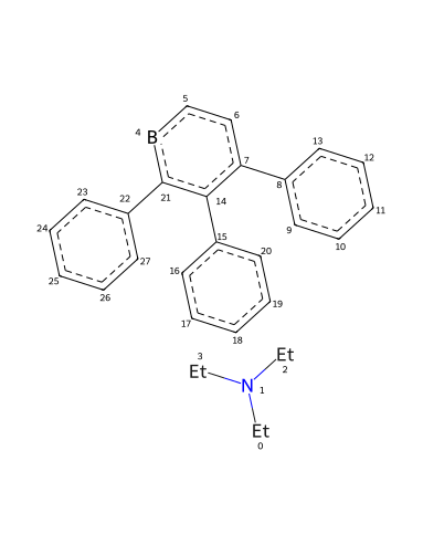 CCN(CC)CC.b1ccc(-c2ccccc2)c(-c2ccccc2)c1-c1ccccc1